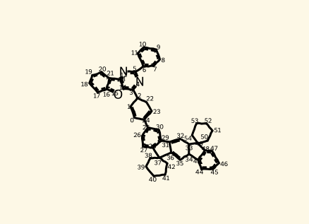 C1=CC(c2nc(-c3ccccc3)nc3c2oc2ccccc23)CC=C1c1ccc2c(c1)C1=CC3C(C=C1C21CCCCC1)c1ccccc1C31CCCCC1